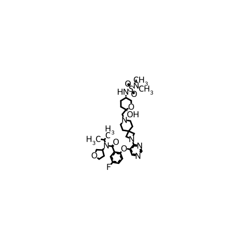 CC(C)N(C(=O)c1cc(F)ccc1Oc1cncnc1N1CC2(CCN(C[C@@]3(O)CC[C@@H](NS(=O)(=O)N(C)C)CO3)CC2)C1)C1CCOC1